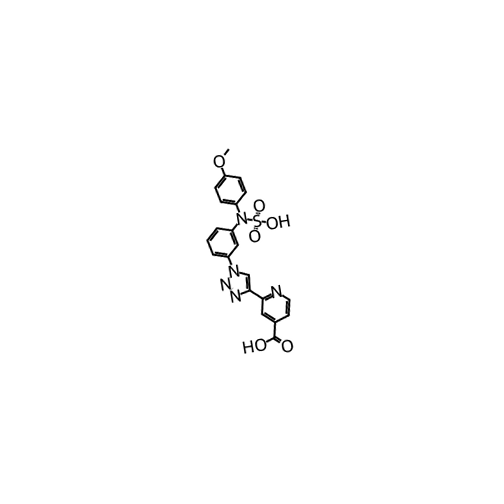 COc1ccc(N(c2cccc(-n3cc(-c4cc(C(=O)O)ccn4)nn3)c2)S(=O)(=O)O)cc1